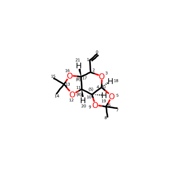 C=CC1O[C@H]2OC(C)(C)O[C@H]2[C@@H]2OC(C)(C)O[C@H]12